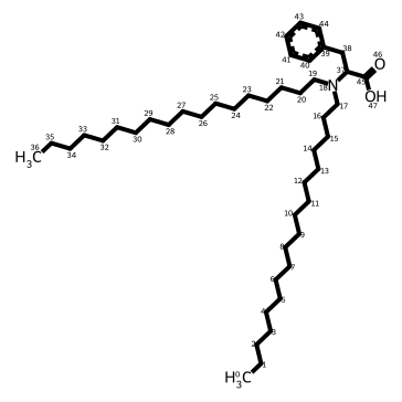 CCCCCCCCCCCCCCCCCCN(CCCCCCCCCCCCCCCCCC)C(Cc1ccccc1)C(=O)O